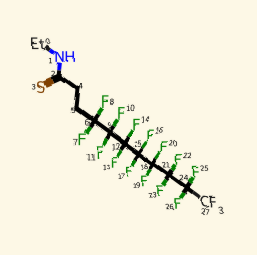 [CH2]CNC(=S)CCC(F)(F)C(F)(F)C(F)(F)C(F)(F)C(F)(F)C(F)(F)C(F)(F)C(F)(F)F